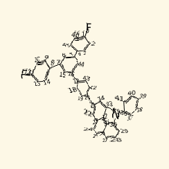 Fc1ccc(-c2cc(-c3ccc(F)cc3)cc(-c3ccc(-c4cc5ccc6cccc7c6c5c(c4)n7-c4ccccc4)cc3)c2)cc1